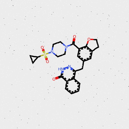 O=C(c1cc(Cc2n[nH]c(=O)c3ccccc23)cc2c1OCC2)N1CCN(S(=O)(=O)C2CC2)CC1